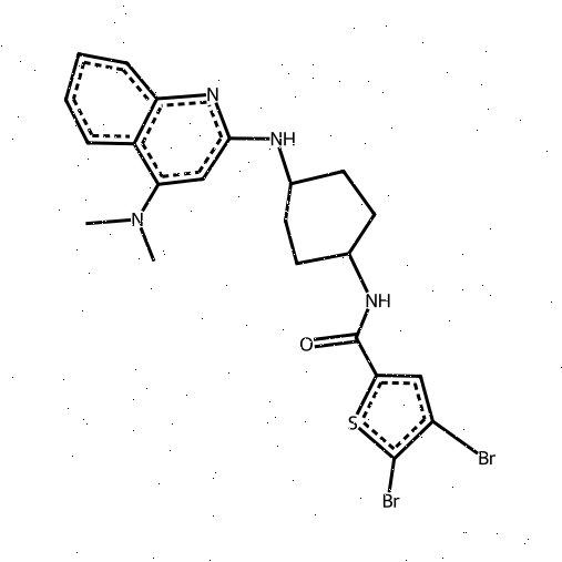 CN(C)c1cc(NC2CCC(NC(=O)c3cc(Br)c(Br)s3)CC2)nc2ccccc12